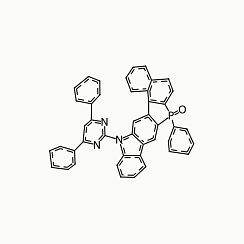 O=P1(c2ccccc2)c2cc3c4ccccc4n(-c4nc(-c5ccccc5)cc(-c5ccccc5)n4)c3cc2-c2c1ccc1ccccc21